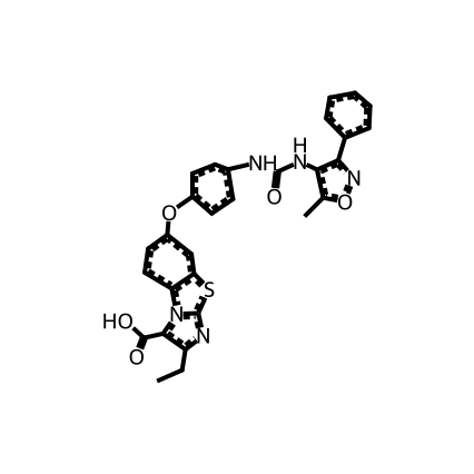 CCc1nc2sc3cc(Oc4ccc(NC(=O)Nc5c(-c6ccccc6)noc5C)cc4)ccc3n2c1C(=O)O